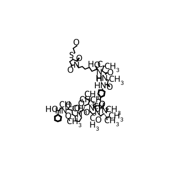 CC[C@H](C)C([C@@H](CC(=O)N1CCCC1[C@H](OC)[C@@H](C)C(=O)N[C@H](C)[C@@H](O)c1ccccc1)OC)N(C)C(=O)[C@H](C)NC(=O)[C@H](C(C)C)N(C)C(=O)OCc1ccc(NC(=O)[C@H](C)NC(=O)[C@@H](NC(=O)CCCCCN2C(=O)CC(SCCC=O)C2=O)C(C)C)cc1